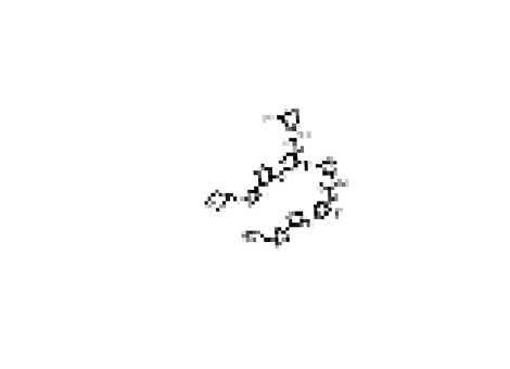 CC(C)c1cncc(NC(=O)Nc2ccc(Oc3ccnc(-c4cnn(CCN5CCOCC5)c4)c3)cc2F)c1.CC(C)c1cncc(NC(=O)Nc2ccc(Oc3ccnc(-c4cnn(CCO)c4)c3)cc2F)c1